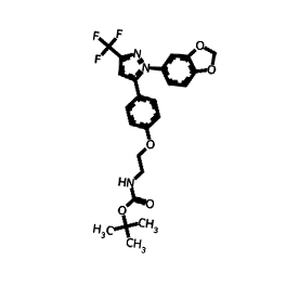 CC(C)(C)OC(=O)NCCOc1ccc(-c2cc(C(F)(F)F)nn2-c2ccc3c(c2)OCO3)cc1